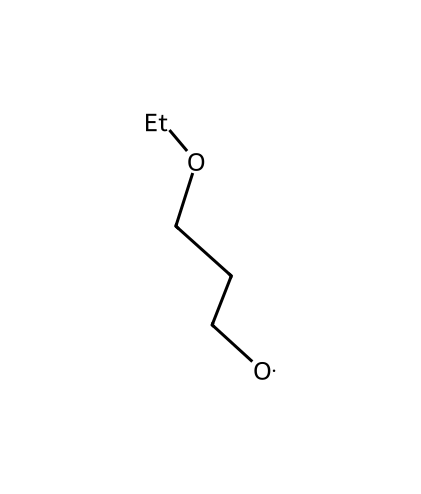 [CH2]COCCC[O]